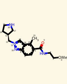 COCCNC(=O)c1ccc2nn(C[C@H]3CCNC3)cc2c1C